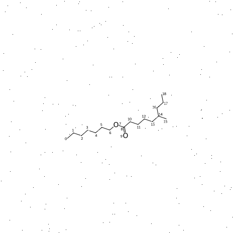 CCCCCCCOC(=O)CCCCC(C)CCC